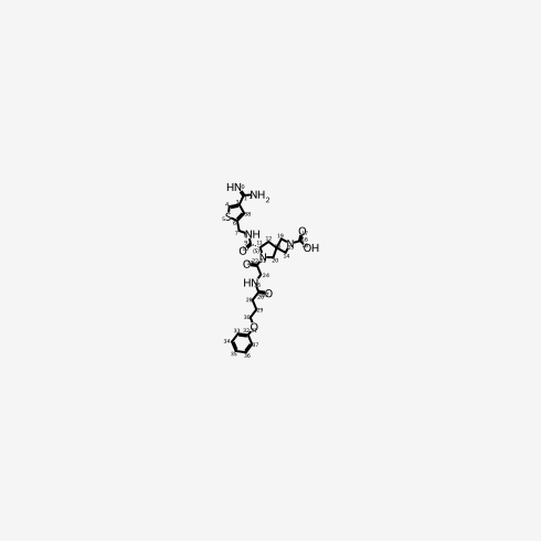 N=C(N)c1csc(CNC(=O)[C@@H]2CC3(CN(C(=O)O)C3)CN2C(=O)CNC(=O)CCCOc2ccccc2)c1